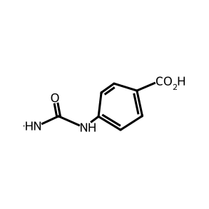 [NH]C(=O)Nc1ccc(C(=O)O)cc1